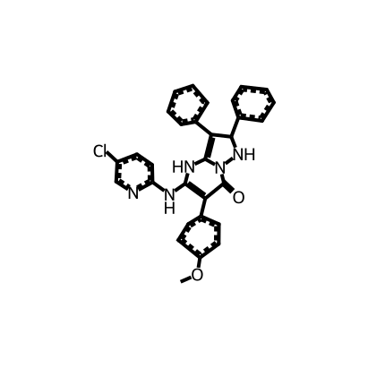 COc1ccc(C2=C(Nc3ccc(Cl)cn3)NC3=C(c4ccccc4)C(c4ccccc4)NN3C2=O)cc1